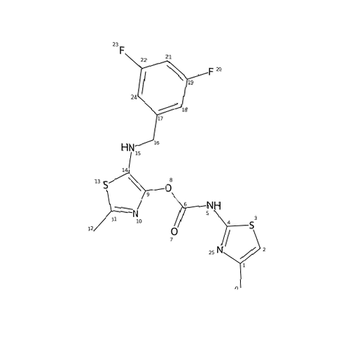 Cc1csc(NC(=O)Oc2nc(C)sc2NCc2cc(F)cc(F)c2)n1